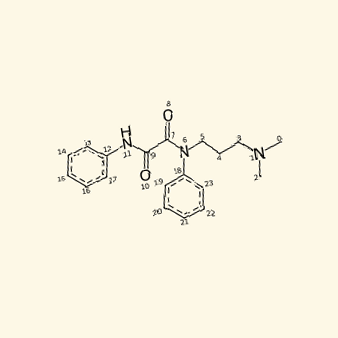 CN(C)CCCN(C(=O)C(=O)Nc1ccccc1)c1ccccc1